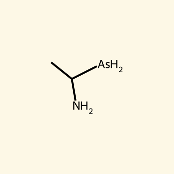 CC(N)[AsH2]